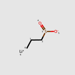 CCCS(=O)[O-].[Li+]